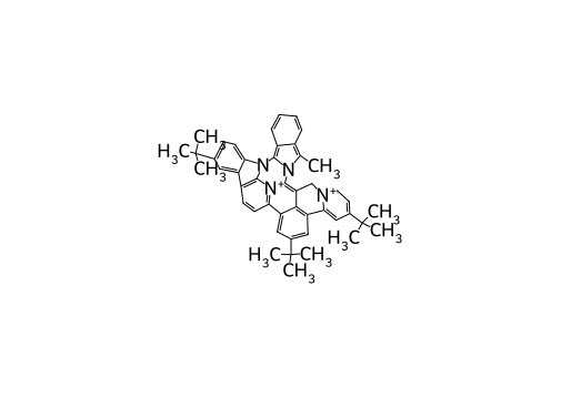 Cc1c2ccccc2c2n1c1c3c4c(cc(C(C)(C)C)cc4c4ccc5c6cc(C(C)(C)C)ccc6n2c5[n+]41)-c1cc(C(C)(C)C)cc[n+]1C3